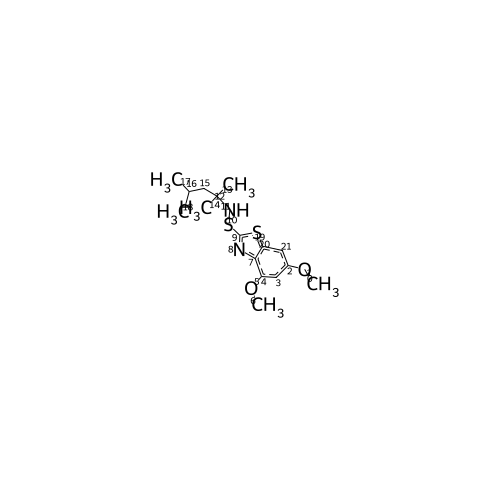 COc1cc(OC)c2nc(SNC(C)(C)CC(C)C)sc2c1